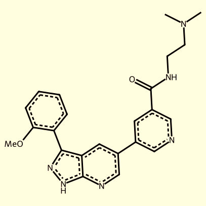 COc1ccccc1-c1n[nH]c2ncc(-c3cncc(C(=O)NCCN(C)C)c3)cc12